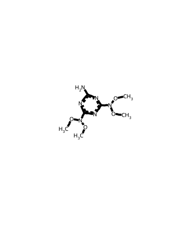 CON(OC)c1nc(N)nc(N(OC)OC)n1